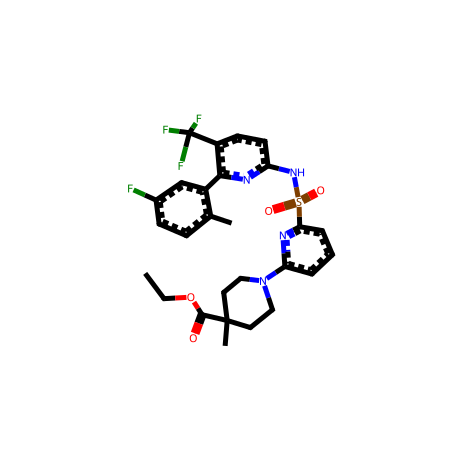 CCOC(=O)C1(C)CCN(c2cccc(S(=O)(=O)Nc3ccc(C(F)(F)F)c(-c4cc(F)ccc4C)n3)n2)CC1